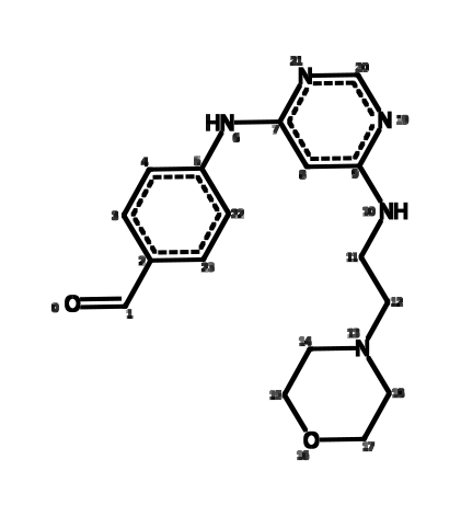 O=Cc1ccc(Nc2cc(NCCN3CCOCC3)ncn2)cc1